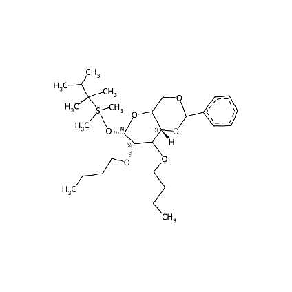 CCCCOC1[C@H]2OC(c3ccccc3)OCC2O[C@@H](O[Si](C)(C)C(C)(C)C(C)C)[C@H]1OCCCC